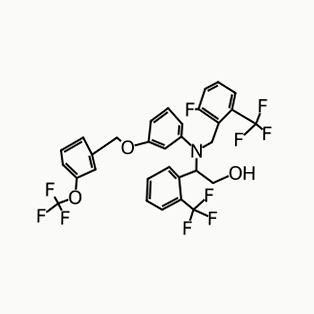 OCC(c1ccccc1C(F)(F)F)N(Cc1c(F)cccc1C(F)(F)F)c1cccc(OCc2cccc(OC(F)(F)F)c2)c1